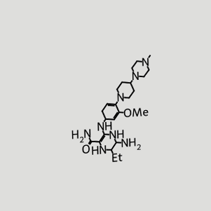 CCC1NC(C(N)=O)=C(NC2C=C(OC)C(N3CCC(N4CCN(C)CC4)CC3)=CC2)NC1N